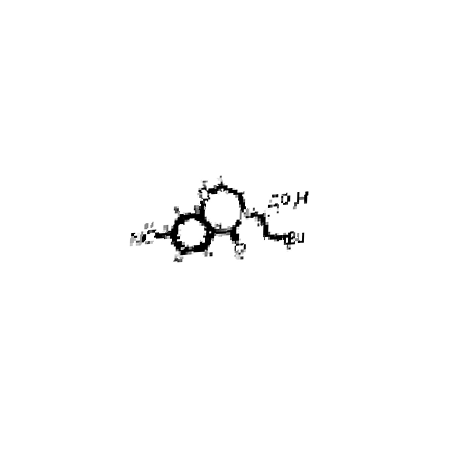 CC(C)(C)C[C@@H](C(=O)O)N1CCOc2cc(C#N)ccc2C1=O